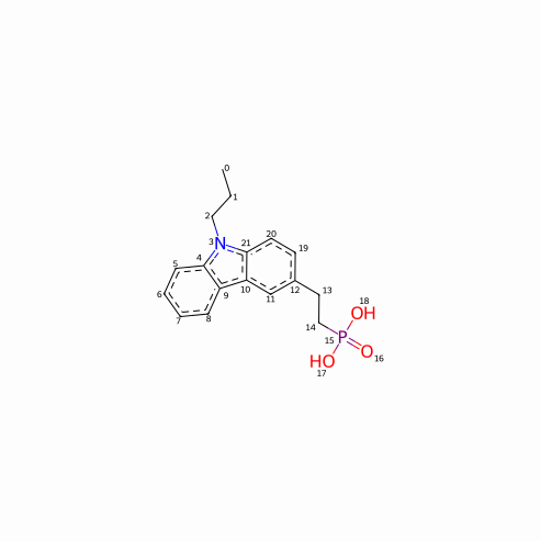 CCCn1c2ccccc2c2cc(CCP(=O)(O)O)ccc21